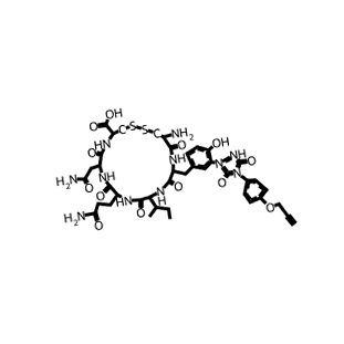 C#CCOc1ccc(-n2c(=O)[nH]n(-c3cc(CC4NC(=O)C(N)CSSCC(C(=O)O)NC(=O)C(CC(N)=O)NC(=O)C(CCC(N)=O)NC(=O)C(C(C)CC)NC4=O)ccc3O)c2=O)cc1